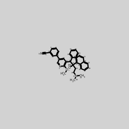 COc1ncc(-c2cccc(C#N)c2)cc1C(c1ccccc1)C(O)(CCN(C)C)c1cccc2ccccc12